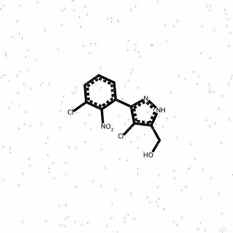 O=[N+]([O-])c1c(Cl)cccc1-c1n[nH]c(CO)c1Cl